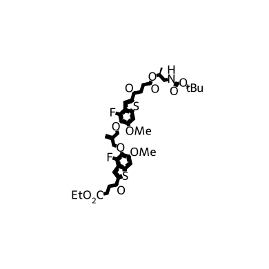 C=C(COc1c(OC)cc2sc(C(=O)CCC(=O)OCC)cc2c1F)COc1c(OC)cc2sc(C(=O)CCC(=O)O[C@@H](C)CNC(=O)OC(C)(C)C)cc2c1F